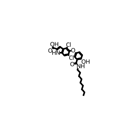 CCCCCCCCCNC(=O)c1cc(Oc2c(Cl)cc3[nH]c(C(=O)O)cc3c2Cl)ccc1O